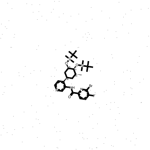 C[C@@H]1C[C@@H](c2ccncc2NC(=O)c2ccc(F)c(Br)n2)C[C@@H](O[Si](C)(C)C(C)(C)C)[C@H]1O[Si](C)(C)C(C)(C)C